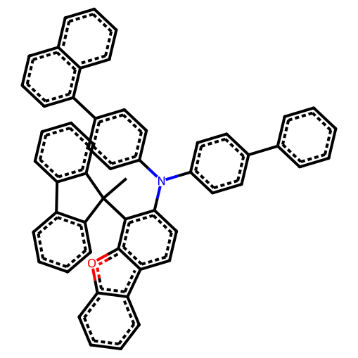 CC1(c2c(N(c3ccc(-c4ccccc4)cc3)c3ccc(-c4cccc5ccccc45)cc3)ccc3c2oc2ccccc23)c2ccccc2-c2ccccc21